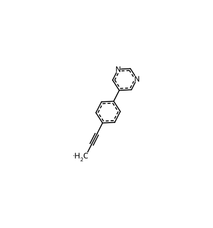 [CH2]C#Cc1ccc(-c2cncnc2)cc1